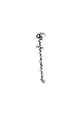 [N-]=[N+]=NCCOCCOCCOCCOCCOCCOCCC(=O)NCCCCn1ncc2c(N)ncnc21